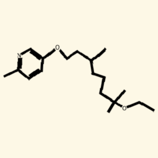 CCOC(C)(C)CCCC(C)CCOc1ccc(C)nc1